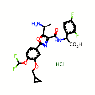 C[C@H](N)c1oc(-c2ccc(OC(F)F)c(OCC3CC3)c2)nc1C(=O)NC(C(=O)O)c1ccc(F)cc1F.Cl